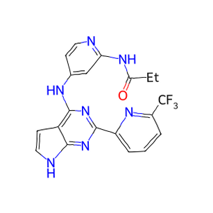 CCC(=O)Nc1cc(Nc2nc(-c3cccc(C(F)(F)F)n3)nc3[nH]ccc23)ccn1